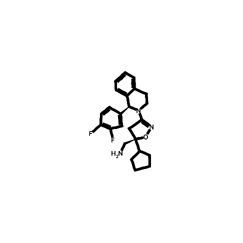 NC[C@@]1(C2CCCC2)CC(N2CCc3ccccc3[C@@H]2c2ccc(F)c(F)c2)=NO1